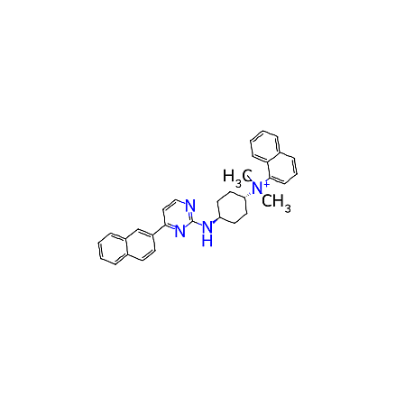 C[N+](C)(c1cccc2ccccc12)[C@H]1CC[C@H](Nc2nccc(-c3ccc4ccccc4c3)n2)CC1